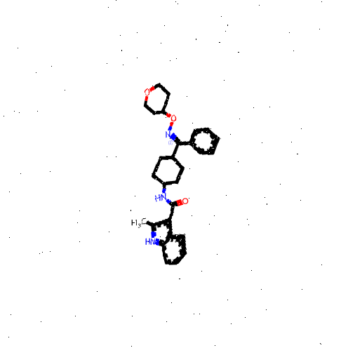 Cc1[nH]c2ccccc2c1C(=O)NC1CCC(/C(=N/OC2CCOCC2)c2ccccc2)CC1